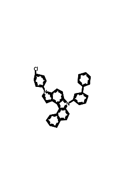 Clc1ccc(-n2ccc3c4c5c6ccccc6ccc5n(-c5cccc(-c6ccccc6)c5)c4ccc32)cc1